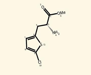 COC(=O)[C@H](N)Cc1ccc(Cl)s1